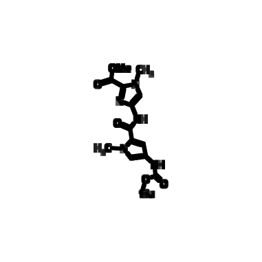 COC(=O)c1nc(NC(=O)c2cc(NC(=O)OC(C)(C)C)cn2C)cn1C